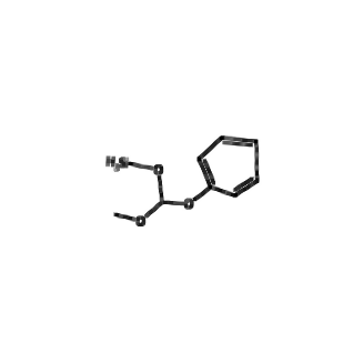 COC(O[SiH3])Oc1ccccc1